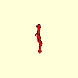 C=COCCCCCCCCCCCOc1ccc(C#CC(=O)Oc2ccc(C#CC(=O)OCCCCCCCCCCCOC(=O)C=C)cc2)cc1